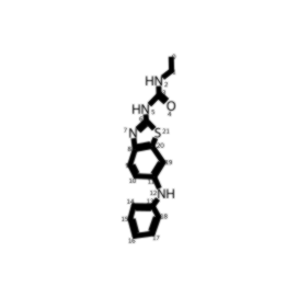 CCNC(=O)Nc1nc2ccc(Nc3ccccc3)cc2s1